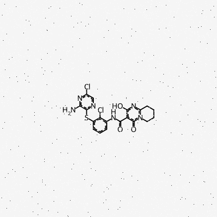 Nc1nc(Cl)cnc1Sc1cccc(NC(=O)c2c(O)nc3n(c2=O)CCCC3)c1Cl